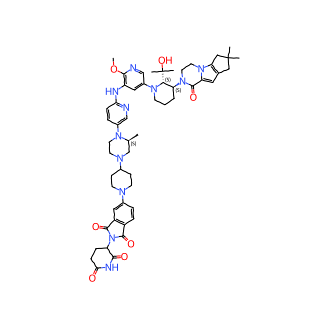 COc1ncc(N2CCC[C@H](N3CCn4c(cc5c4CC(C)(C)C5)C3=O)[C@H]2C(C)(C)O)cc1Nc1ccc(N2CCN(C3CCN(c4ccc5c(c4)C(=O)N(C4CCC(=O)NC4=O)C5=O)CC3)C[C@@H]2C)cn1